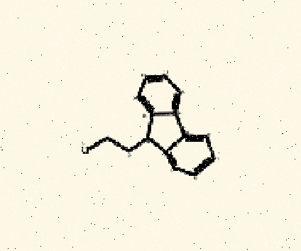 ClCCC1c2ccccc2-c2ccccc21